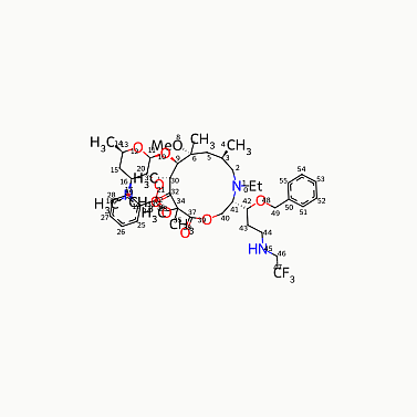 CCN1C[C@H](C)C[C@@](C)(OC)[C@H](O[C@@H]2O[C@H](C)C[C@H](N(C)C)[C@H]2OC(=O)c2ccccc2)[C@@H](C)C(=O)C(C)(C)C(=O)OC[C@H]1C(CCNCC(F)(F)F)OCc1ccccc1